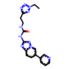 CCn1nnc(CCNC(=O)Nc2nc3ccc(-c4cccnc4)cn3n2)n1